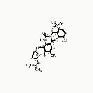 CCS(=O)(=O)c1ccc(Cl)cc1Cn1c(=O)[nH]c2c(Cl)c(CN3CCC[C@@H]3CN(C)C)c(C(F)(F)F)cc2c1=O